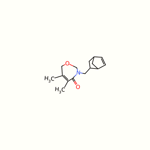 CC1=C(C)C(=O)N(CC2CC3C=CC2C3)COC1